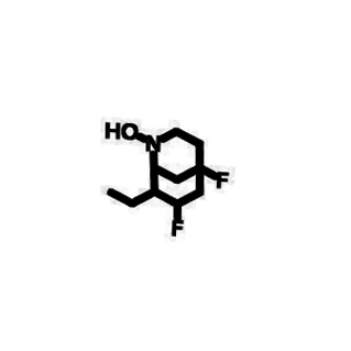 CCC1C(F)CC2(F)CCN(O)C1C2